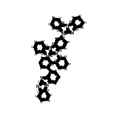 c1ccc(-c2cccc3c2sc2nc4ccccc4n23)c(-c2ccccc2-n2c3ccc(-n4c5ccccc5n5c6ccccc6nc45)cc3n3c4ccccc4nc23)c1